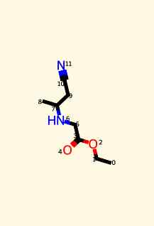 CCOC(=O)CNC(C)CC#N